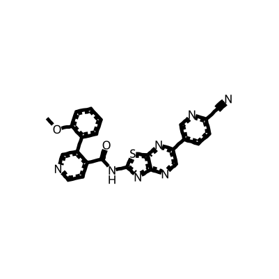 COc1ccccc1-c1cnccc1C(=O)Nc1nc2ncc(-c3ccc(C#N)nc3)nc2s1